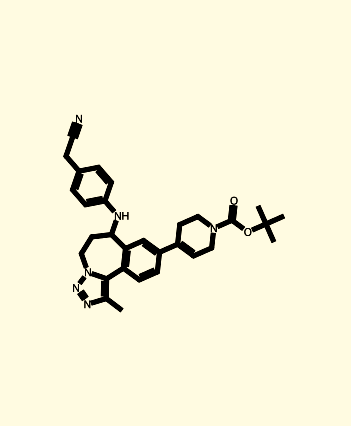 Cc1nnn2c1-c1ccc(C3=CCN(C(=O)OC(C)(C)C)CC3)cc1C(Nc1ccc(CC#N)cc1)CC2